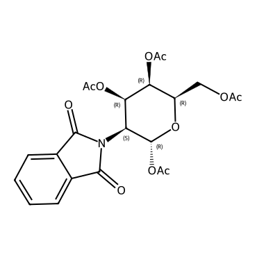 CC(=O)OC[C@H]1O[C@H](OC(C)=O)[C@@H](N2C(=O)c3ccccc3C2=O)[C@@H](OC(C)=O)[C@H]1OC(C)=O